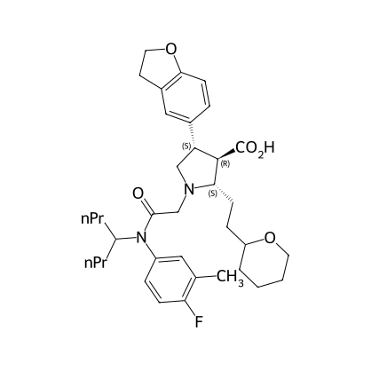 CCCC(CCC)N(C(=O)CN1C[C@H](c2ccc3c(c2)CCO3)[C@@H](C(=O)O)[C@@H]1CCC1CCCCO1)c1ccc(F)c(C)c1